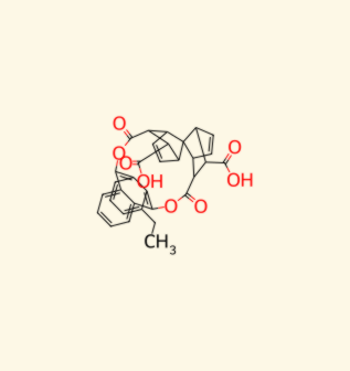 CCc1cccc2c3c4ccccc4c(c12)OC(=O)C1C(C(=O)O)C2C=CC1C21C2C=CC1C(C(=O)O3)C2C(=O)O